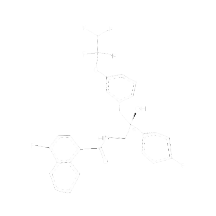 O=C(NC[C@](O)(Cc1cccc(OC(F)(F)C(F)F)c1)c1ccc(F)cc1)c1ccc(F)c2ccccc12